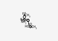 CN1CC[C@@](O)(C#Cc2cccc(-n3nc(C(N)=O)c4c3C[C@@]3(C)C(C4)C3(F)F)c2)C1=O